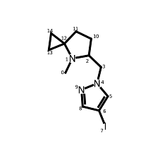 CN1C(Cn2cc(I)cn2)CCC12CC2